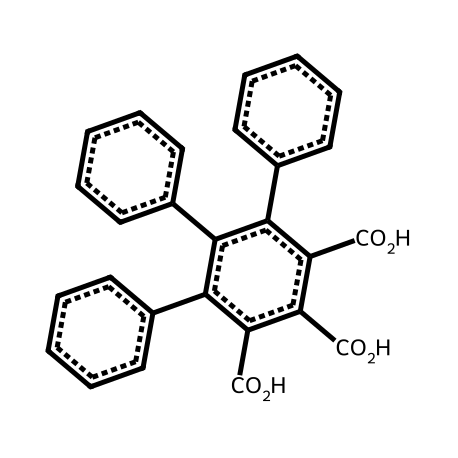 O=C(O)c1c(C(=O)O)c(-c2ccccc2)c(-c2ccccc2)c(-c2ccccc2)c1C(=O)O